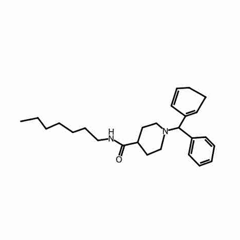 CCCCCCCNC(=O)C1CCN(C(C2=CCCC=C2)c2ccccc2)CC1